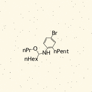 CCCCCCC(Nc1ccc(Br)cc1CCCCC)OCCC